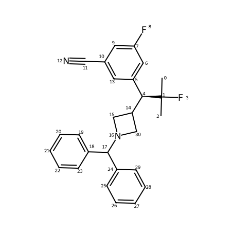 CC(C)(F)[C@H](c1cc(F)cc(C#N)c1)C1CN(C(c2ccccc2)c2ccccc2)C1